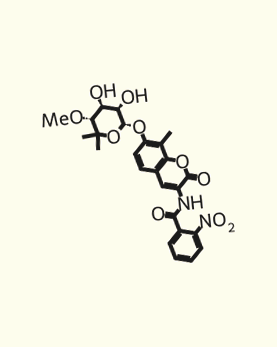 CO[C@@H]1[C@@H](O)[C@@H](O)[C@H](Oc2ccc3cc(NC(=O)c4ccccc4[N+](=O)[O-])c(=O)oc3c2C)OC1(C)C